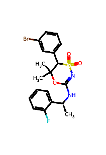 C[C@H](NC1=NS(=O)(=O)C(c2cccc(Br)c2)C(C)(C)O1)c1ccccc1F